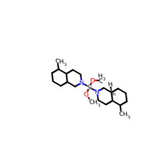 CO[Si](OC)(N1CCC2C(C)CCCC2C1)N1CCC2C(C)CCC[C@H]2C1